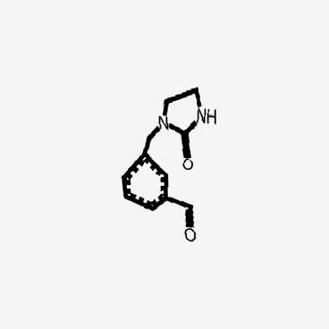 O=Cc1cccc(CN2CCNC2=O)c1